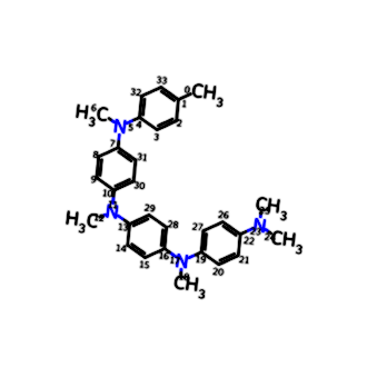 Cc1ccc(N(C)c2ccc(N(C)c3ccc(N(C)c4ccc(N(C)C)cc4)cc3)cc2)cc1